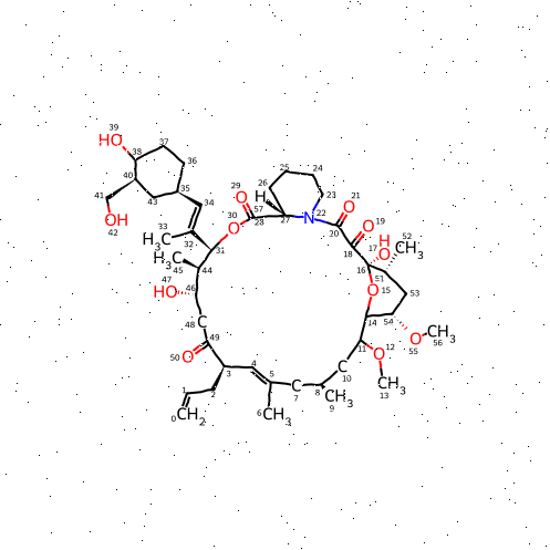 C=CC[C@@H]1/C=C(\C)C[C@H](C)CC(OC)C2O[C@@](O)(C(=O)C(=O)N3CCCC[C@H]3C(=O)O[C@H](/C(C)=C/[C@@H]3CCC(O)[C@H](CO)C3)[C@H](C)[C@@H](O)CC1=O)[C@H](C)C[C@@H]2OC